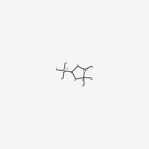 CN1CC([Si](C)(C)C)CC1(C)C